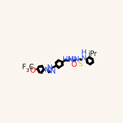 CC(C)c1ccccc1NC(=S)NC(=O)NCCc1ccc(-c2ncn(-c3ccc(OC(F)(F)F)cc3)n2)cc1